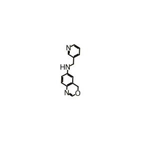 C1=Nc2ccc(NCc3cccnc3)cc2CO1